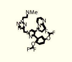 CNCCn1nnc(Cn2cc(N3CC=C4N=CC=CN43)c(-c3cc(OC(F)F)ccc3OC(F)F)n2)n1